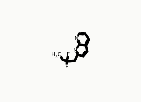 CCC(F)(F)Cc1ccc2cccnc2n1